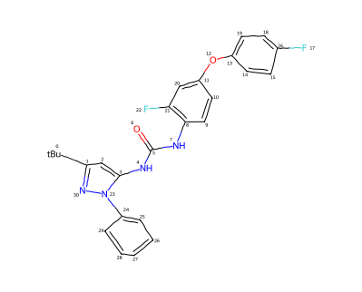 CC(C)(C)c1cc(NC(=O)Nc2ccc(Oc3ccc(F)cc3)cc2F)n(-c2ccccc2)n1